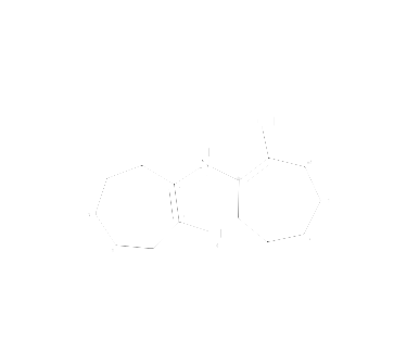 CC1=C(NC2=C(C)CCCCC2)CCCCC1